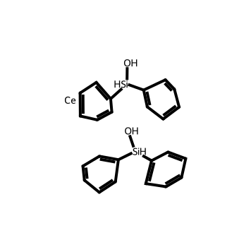 O[SiH](c1ccccc1)c1ccccc1.O[SiH](c1ccccc1)c1ccccc1.[Ce]